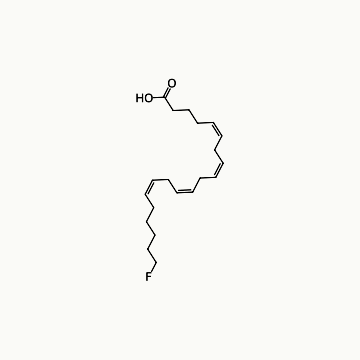 O=C(O)CCC/C=C\C/C=C\C/C=C\C/C=C\CCCCCF